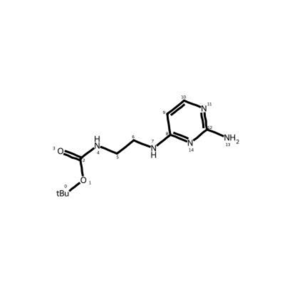 CC(C)(C)OC(=O)NCCNc1ccnc(N)n1